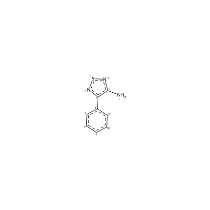 Nc1nsnc1-c1ccccc1